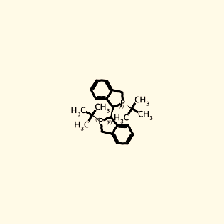 CC(C)(C)[P@@]1Cc2ccccc2C1[C@H]1c2ccccc2C[P@]1C(C)(C)C